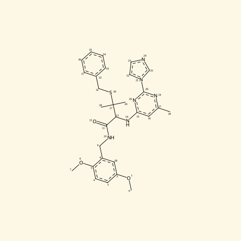 COc1ccc(OC)c(CNC(=O)C(Nc2cc(C)nc(-n3ccnc3)n2)C(C)(C)SCc2ccccc2)c1